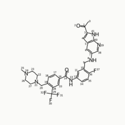 CC(=O)c1cc2cc(NCc3cc(NC(=O)c4ccc(CN5CCN(C)CC5)c(C(F)(F)F)c4)ccc3F)cnc2[nH]1